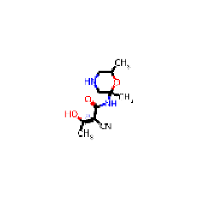 C/C(O)=C(\C#N)C(=O)NC1(C)CNCC(C)O1